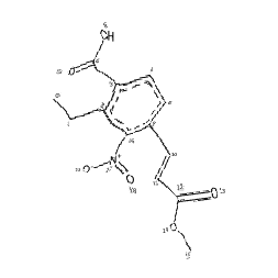 CCc1c(C(=O)O)ccc(C=CC(=O)OC)c1[N+](=O)[O-]